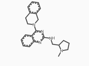 CN1CCCC1CNc1nc(N2CCc3ccccc3C2)c2ccccc2n1